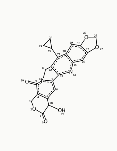 O=C1OCc2c(cc3n(c2=O)Cc2c-3nc3cc4c(cc3c2C2CC2)OCO4)C1O